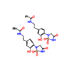 CC(C)(C)C(=O)NCCc1ccc(N2CC(=O)NS2(=O)=O)c(O)c1.CC(C)C(=O)NCCc1ccc(N2CC(=O)NS2(=O)=O)c(O)c1